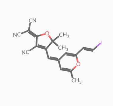 CC1=C/C(=C/C2=C(C#N)C(=C(C#N)C#N)OC2(C)C)C=C(/C=C/I)O1